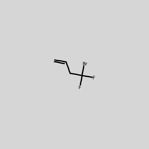 C=CCC(F)(F)Br